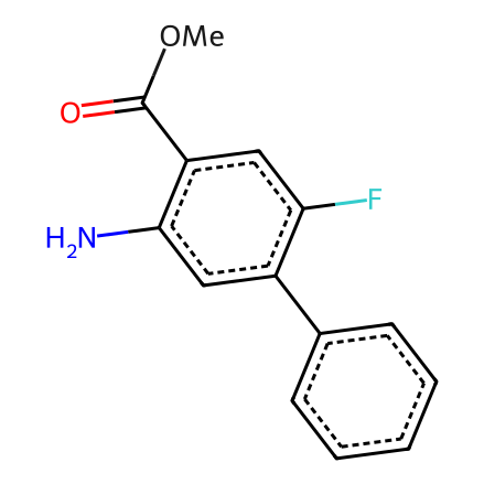 COC(=O)c1cc(F)c(-c2ccccc2)cc1N